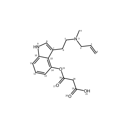 C=CCN(C)CCc1c[nH]c2cccc(OC(=O)CC(=O)O)c12